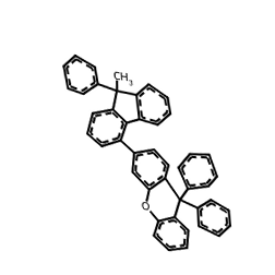 CC1(c2ccccc2)c2ccccc2-c2c(-c3ccc4c(c3)Oc3ccccc3C4(c3ccccc3)c3ccccc3)cccc21